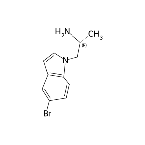 C[C@@H](N)Cn1ccc2cc(Br)ccc21